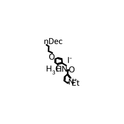 CCCCCCCCCCCCCCOc1ccc(CNC(=O)c2ccc[n+](CC)c2)c(C)c1.[I-]